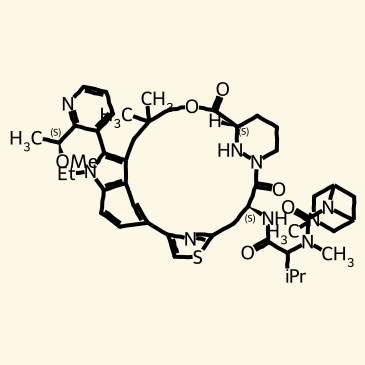 CCn1c(-c2cccnc2[C@H](C)OC)c2c3cc(ccc31)-c1csc(n1)C[C@H](NC(=O)C(C(C)C)N(C)C(=O)N1C3CC1CN(C)C3)C(=O)N1CCC[C@H](N1)C(=O)OCC(C)(C)C2